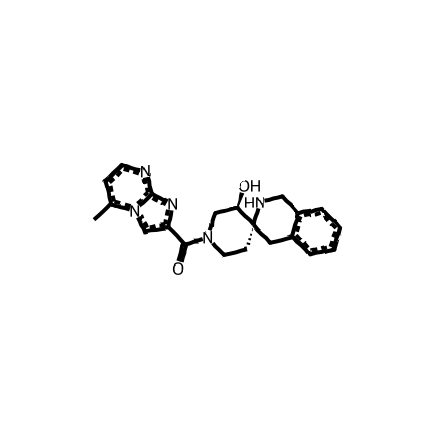 Cc1ccnc2nc(C(=O)N3CC[C@]4(Cc5ccccc5CN4)[C@H](O)C3)cn12